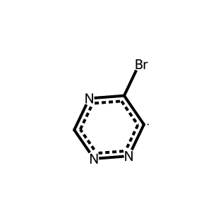 Brc1[c]nncn1